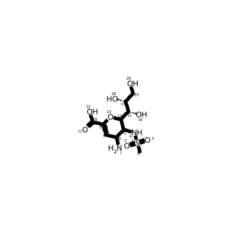 CS(=O)(=O)NC1C(N)C=C(C(=O)O)OC1[C@@H](O)[C@H](O)CO